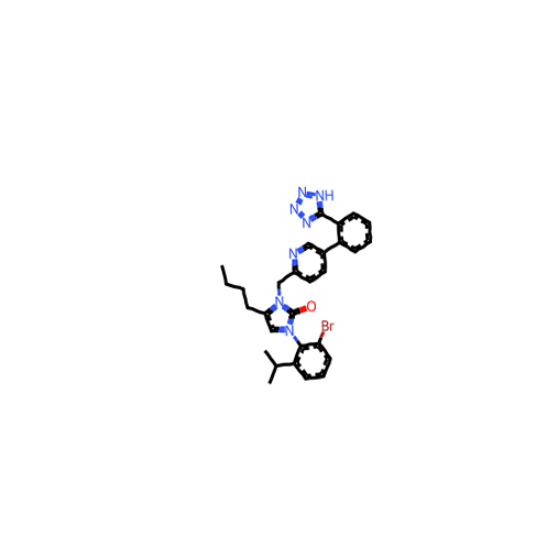 CCCCc1cn(-c2c(Br)cccc2C(C)C)c(=O)n1Cc1ccc(-c2ccccc2-c2nnn[nH]2)cn1